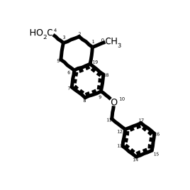 CC1CC(C(=O)O)Cc2ccc(OCc3ccccc3)cc21